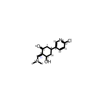 CN(C)/C=C1/C(=O)CC(c2ccc(Cl)nc2)CC1O